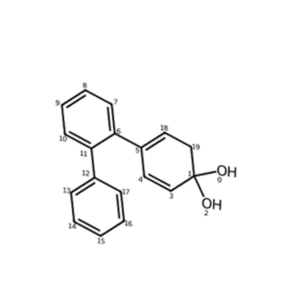 OC1(O)C=CC(c2ccccc2-c2ccccc2)=CC1